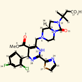 COC(=O)C1=C(CN2CCN3C(=O)N(C(C)(C)CC(=O)O)C[C@@H]3C2)NC(c2nccs2)=N[C@H]1c1ccc(F)cc1Cl